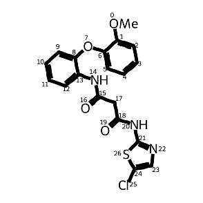 COc1ccccc1Oc1ccccc1NC(=O)CC(=O)Nc1ncc(Cl)s1